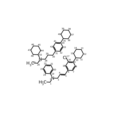 CCN(CC=Cc1ccc(C2CCCCC2)c(Cl)c1)c1ccccc1.CCN(CCCc1ccc(C2CCCCC2)cc1)C1CCCCC1